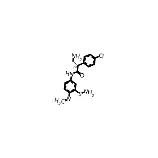 C=Nc1ccc(NC(=O)[C@H](CN)c2ccc(Cl)cc2)cc1SN